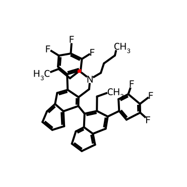 CCCCN(CCCC)Cc1c(-c2cc(F)c(F)c(F)c2)cc2ccccc2c1-c1c(CC)c(-c2cc(F)c(F)c(F)c2)cc2ccccc12